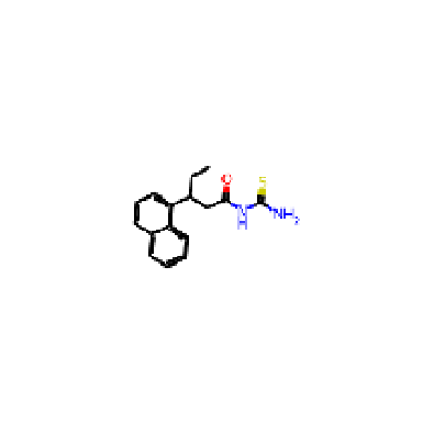 CCC(CC(=O)NC(N)=S)c1cccc2ccccc12